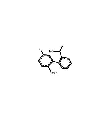 CCc1ccc(OC)c(-c2ccccc2C(C)O)c1